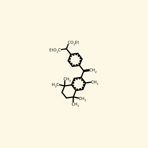 C=C(c1ccc(C(C(=O)OCC)C(=O)OCC)cc1)c1cc2c(cc1C)C(C)(C)CCC2(C)C